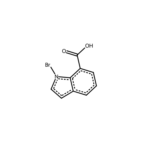 O=C(O)c1cccc2ccn(Br)c12